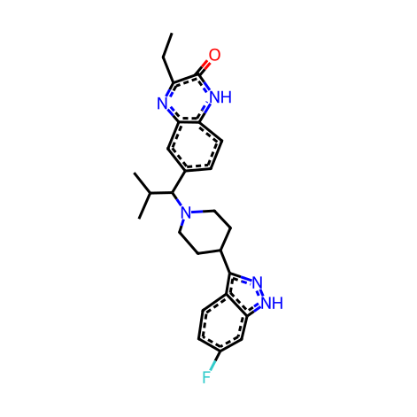 CCc1nc2cc(C(C(C)C)N3CCC(c4n[nH]c5cc(F)ccc45)CC3)ccc2[nH]c1=O